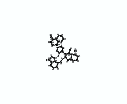 Cc1ccccc1-n1c(CSc2ncnc3[nH]cnc23)nc2cccc(Cl)c2c1=O.O=c1[nH]cnc2ccccc12